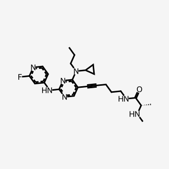 CCCN(c1nc(Nc2ccnc(F)c2)ncc1C#CCCCNC(=O)[C@H](C)NC)C1CC1